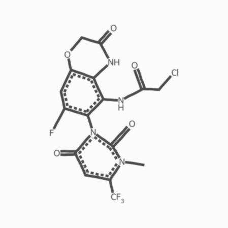 Cn1c(C(F)(F)F)cc(=O)n(-c2c(F)cc3c(c2NC(=O)CCl)NC(=O)CO3)c1=O